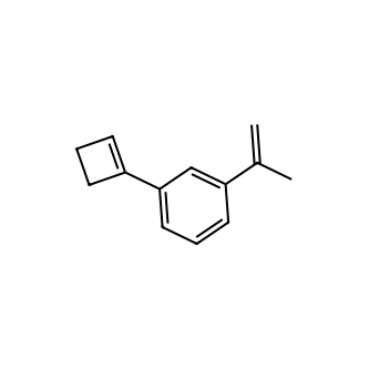 C=C(C)c1cccc(C2=CCC2)c1